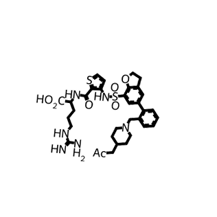 CC(=O)CC1CCN(Cc2ccccc2-c2cc3c(c(S(=O)(=O)Nc4ccsc4C(=O)NC(CCCNC(=N)N)C(=O)O)c2)OCC3)CC1